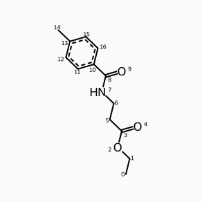 CCOC(=O)CCNC(=O)c1ccc(C)cc1